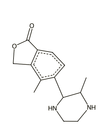 Cc1c(C2NCCNC2C)ccc2c1COC2=O